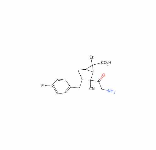 CCC1(C(=O)O)C2CC(Cc3ccc(C(C)C)cc3)C(C#N)(C(=O)CN)C21